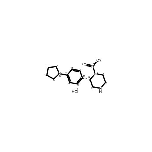 Cl.O=[N+]([O-])N1CCNC[C@@H]1c1ccc(N2CCCC2)cc1